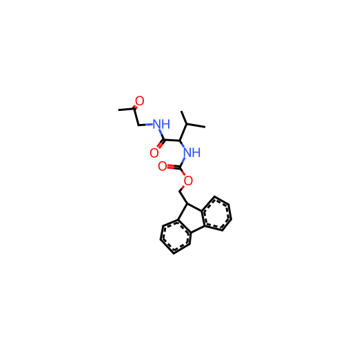 CC(=O)CNC(=O)C(NC(=O)OCC1c2ccccc2-c2ccccc21)C(C)C